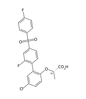 C[C@H](Oc1ccc(Cl)cc1-c1ccc(S(=O)(=O)c2ccc(F)cc2)cc1F)C(=O)O